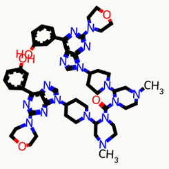 CN1CCN(C(=O)N2CCN(C)CC2N2CCC(n3cnc4c(-c5cccc(O)c5)nc(N5CCOCC5)nc43)CC2)C(N2CCC(n3cnc4c(-c5cccc(O)c5)nc(N5CCOCC5)nc43)CC2)C1